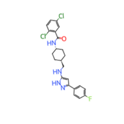 O=C(N[C@H]1CC[C@H](CNc2cc(-c3ccc(F)cc3)n[nH]2)CC1)c1cc(Cl)ccc1Cl